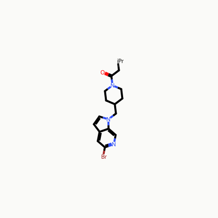 CC(C)CC(=O)N1CCC(Cn2ccc3cc(Br)ncc32)CC1